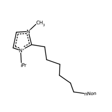 CCCCCCCCCCCCCCCc1n(C)cc[n+]1C(C)C